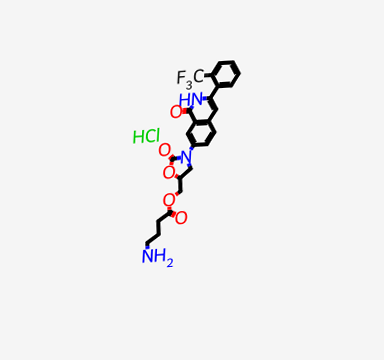 Cl.NCCCC(=O)OCC1CN(c2ccc3cc(-c4ccccc4C(F)(F)F)[nH]c(=O)c3c2)C(=O)O1